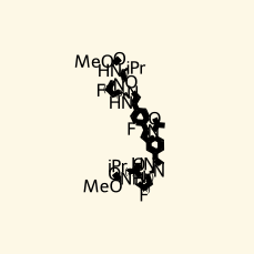 COC(=O)N[C@H](C(=O)N1C[C@H](F)C[C@H]1c1ncc(-c2cc(F)c3c(c2)OC(C)n2c-3cc3cc(-c4cnc([C@@H]5C[C@@H](F)CN5C(=O)[C@@H](NC(=O)OC)C(C)C)[nH]4)ccc32)[nH]1)C(C)C